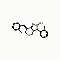 CCCN1N=C2C(=Cc3ccccc3C)CSCC2C1c1ccccc1C